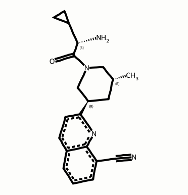 C[C@@H]1C[C@@H](c2ccc3cccc(C#N)c3n2)CN(C(=O)[C@@H](N)C2CC2)C1